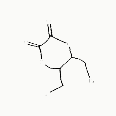 O=C1OC(CBr)C(CBr)OC1=O